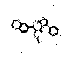 [N-]=[N+]=NC(C(=O)N1C(=O)OC[C@@H]1c1ccccc1)[C@H](O)c1ccc2c(c1)OCCO2